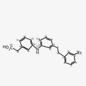 CCc1cccc(CCc2ccnc(Nc3cccc(CC(=O)O)c3)c2)c1